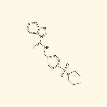 O=C(NCc1ccc(S(=O)(=O)N2CCCCC2)cc1)n1ccc2ccccc21